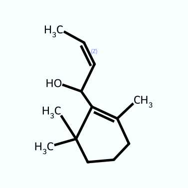 C/C=C\C(O)C1=C(C)CCCC1(C)C